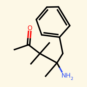 CC(=O)C(C)(C)C(C)(N)Cc1ccccc1